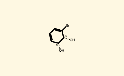 O[C@@H]1C=CC=C(Br)[C@@H]1O